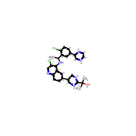 CC(Nc1c(Cl)cnc2ccc(-c3cnc(C(C)(C)O)nc3)cc12)c1cc(-c2cnccn2)ccc1F